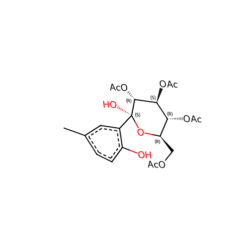 CC(=O)OC[C@H]1O[C@@](O)(c2cc(C)ccc2O)[C@H](OC(C)=O)[C@@H](OC(C)=O)[C@@H]1OC(C)=O